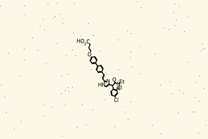 CCNC(=O)C(c1c[nH]c(/C=C/c2ccc(-c3ccc(OCCCC(=O)O)cc3)cc2)n1)c1ccc(Cl)cc1Cl